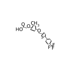 Cc1cc(OCc2ccc(-c3ccc(C(F)(F)F)cc3)s2)ccc1OCC(=O)O